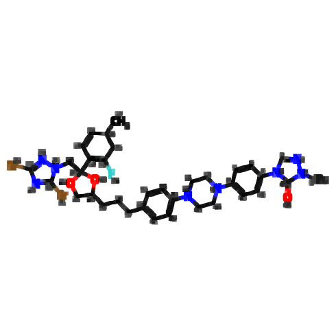 CCC(C)n1ncn(-c2ccc(N3CCN(c4ccc(CCCC5COC(Cn6nc(Br)nc6Br)(C6=C(F)CC(C)C=C6)O5)cc4)CC3)cc2)c1=O